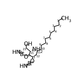 CCCCCCCCCCCCC[C@@H](OB=N)[C@@H](OB=N)[C@@H](N)CO